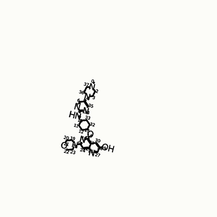 CN1CCN(c2cnc(N[C@H]3CC[C@@H](Oc4nc(N5CCOCC5)cc5ncc(O)cc45)CC3)nc2)CC1